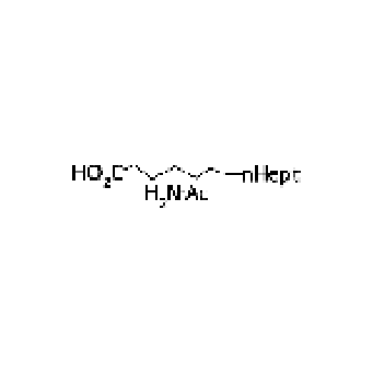 CC(N)=O.CCCCCCCCCCCCCC(=O)O